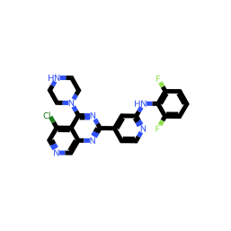 Fc1cccc(F)c1Nc1cc(-c2nc(N3CCNCC3)c3c(Cl)cncc3n2)ccn1